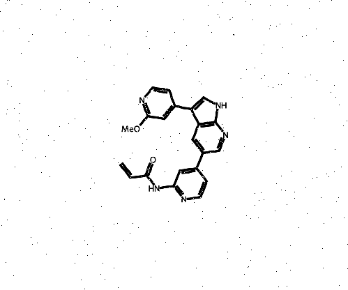 C=CC(=O)Nc1cc(-c2cnc3[nH]cc(-c4ccnc(OC)c4)c3c2)ccn1